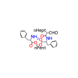 CCCCCCCC(C=O)C(=O)NC(Cc1ccccc1)C(=O)OC(CCCCC)OC(=O)C(N)Cc1ccccc1